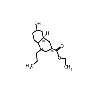 CCCN1C[C@H](C(=O)OCC)C[C@@H]2CC(O)CCC21